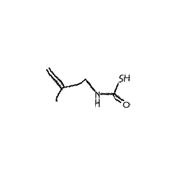 C=C(C)CNC(=O)S